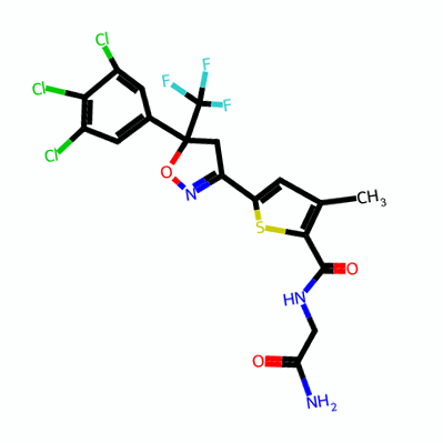 Cc1cc(C2=NOC(c3cc(Cl)c(Cl)c(Cl)c3)(C(F)(F)F)C2)sc1C(=O)NCC(N)=O